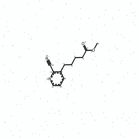 COC(=O)CCCCc1cccnc1C#N